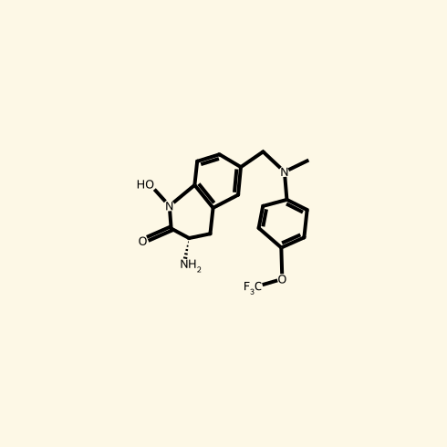 CN(Cc1ccc2c(c1)C[C@H](N)C(=O)N2O)c1ccc(OC(F)(F)F)cc1